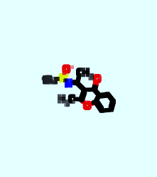 C/C(=N\[S+]([O-])C(C)(C)C)c1c(C)oc2ccccc2c1=O